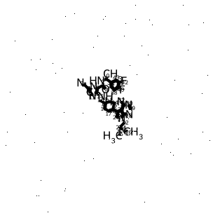 CC(NC(=O)c1nc(C#N)cnc1NCC1=CC=C(c2cn(CCN(C)C)c3ncnc(N)c23)CC1)c1ccc(F)c(F)c1